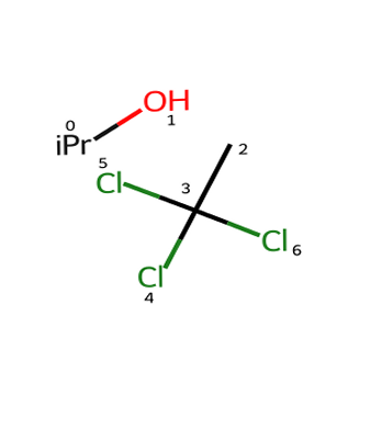 CC(C)O.CC(Cl)(Cl)Cl